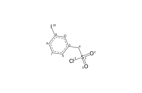 O=S(=O)(Cl)Cc1cccc(I)c1